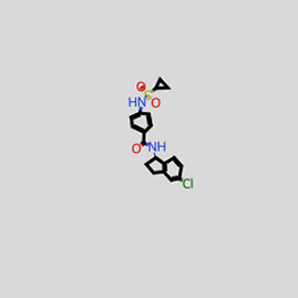 O=C(N[C@H]1CCc2cc(Cl)ccc21)c1ccc(NS(=O)(=O)C2CC2)cc1